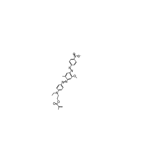 C=C(C)C(=O)OCCN(CC)c1ccc(/N=N/c2cc(OC)c(/N=N/c3ccc([N+](=O)[O-])cc3)cc2C)cc1